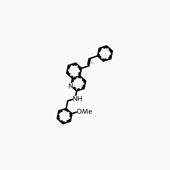 COc1ccccc1CNc1ccc2c(/C=C/c3ccccc3)cccc2n1